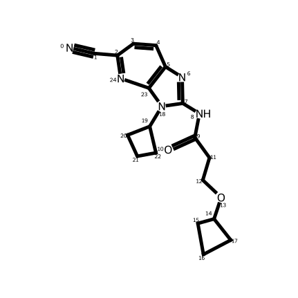 N#Cc1ccc2nc(NC(=O)CCOC3CCC3)n(C3CCC3)c2n1